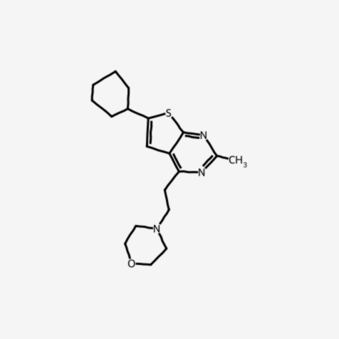 Cc1nc(CCN2CCOCC2)c2cc(C3CCCCC3)sc2n1